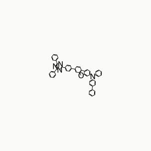 c1ccc(-c2ccc(N(c3ccccc3)c3ccc4c(c3)oc3cc(-c5ccc(-c6nc(-c7ccccc7)nc(-c7ccccc7)n6)cc5)ccc34)cc2)cc1